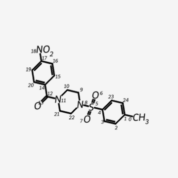 Cc1ccc(S(=O)(=O)N2CCN(C(=O)c3ccc([N+](=O)[O-])cc3)CC2)cc1